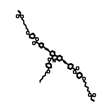 C=CC(=O)OCCCCCCOc1ccc(OC(=O)c2ccc(C#Cc3ccc4c(c3)nc(Oc3ccc(OCCCCCC)cc3)c3cc(C#Cc5ccc(C(=O)Oc6ccc(OCCCCCCOC(=O)C=C)cc6)cc5)ccc34)cc2)cc1